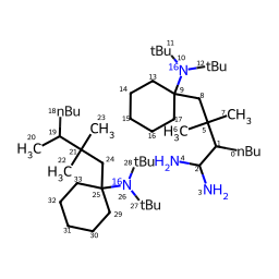 CCCCC(C(N)N)C(C)(C)CC1([16N](C(C)(C)C)C(C)(C)C)CCCCC1.CCCCC(C)C(C)(C)CC1([16N](C(C)(C)C)C(C)(C)C)CCCCC1